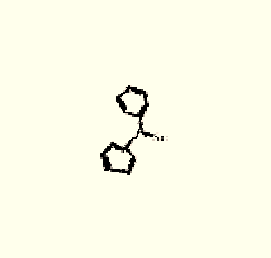 [Sc][P](c1ccccc1)c1ccccc1